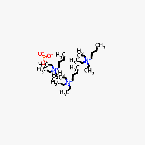 CCCC[N+](CC)(CC)CC.CCCC[N+](CC)(CC)CC.CCCC[N+](CC)(CC)CC.[O-]P([O-])[O-]